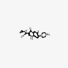 O=C(OC1CC1)c1c[nH]c2cc(N3CCNCC3)c(F)cc2c1=O